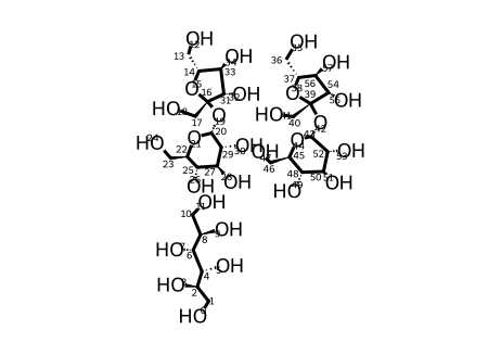 OC[C@@H](O)[C@@H](O)[C@H](O)[C@H](O)CO.OC[C@H]1O[C@@](CO)(O[C@H]2O[C@H](CO)[C@@H](O)[C@H](O)[C@H]2O)[C@@H](O)[C@@H]1O.OC[C@H]1O[C@@](CO)(O[C@H]2O[C@H](CO)[C@@H](O)[C@H](O)[C@H]2O)[C@@H](O)[C@@H]1O